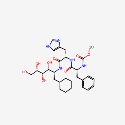 CC(C)(C)OC(=O)N[C@@H](Cc1ccccc1)C(=O)N[C@@H](Cc1c[nH]cn1)C(=O)N[C@@H](CC1CCCCC1)[C@@H](O)[C@@H](O)[C@H](O)CO